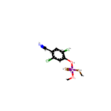 COP(=S)(Oc1cc(Cl)c(C#N)cc1Cl)SC